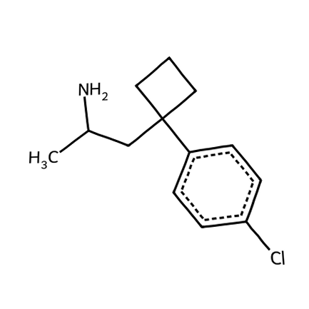 CC(N)CC1(c2ccc(Cl)cc2)CCC1